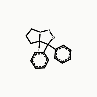 [B]1OC(c2ccccc2)(c2ccccc2)[C@@H]2CCCN12